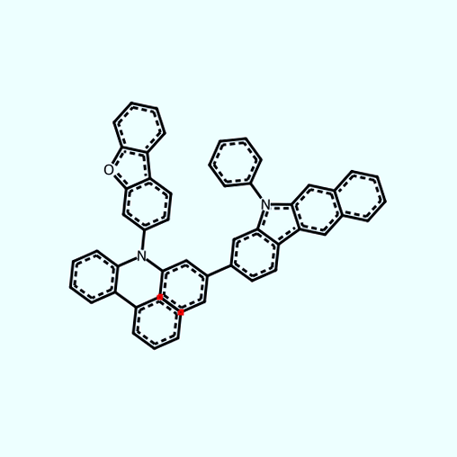 c1ccc(-c2ccccc2N(c2cccc(-c3ccc4c5cc6ccccc6cc5n(-c5ccccc5)c4c3)c2)c2ccc3c(c2)oc2ccccc23)cc1